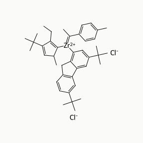 CCC1=[C](/[Zr+2](=[C](\C)c2ccc(C)cc2)[c]2cc(C(C)(C)C)cc3c2Cc2ccc(C(C)(C)C)cc2-3)C(C)C=C1C(C)(C)C.[Cl-].[Cl-]